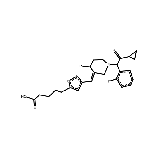 O=C(O)CCCCn1cc(C=C2CN(C(C(=O)C3CC3)c3ccccc3F)CCC2S)nn1